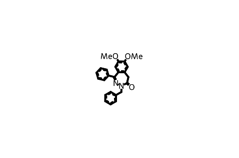 COc1cc2c(cc1OC)C(c1ccccc1)=NN(Cc1ccccc1)C(=O)C2